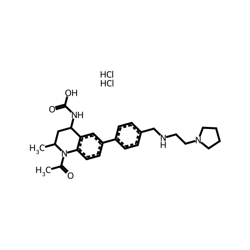 CC(=O)N1c2ccc(-c3ccc(CNCCN4CCCC4)cc3)cc2C(NC(=O)O)CC1C.Cl.Cl